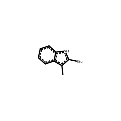 Cc1c(C(C)(C)C)[nH]c2ccccc12